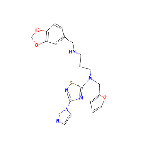 c1coc(CN(CCCNCc2ccc3c(c2)OCO3)c2nc(-n3ccnc3)ns2)c1